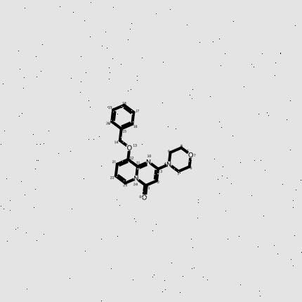 O=c1cc(N2CCOCC2)nc2c(OCc3ccccc3)cccn12